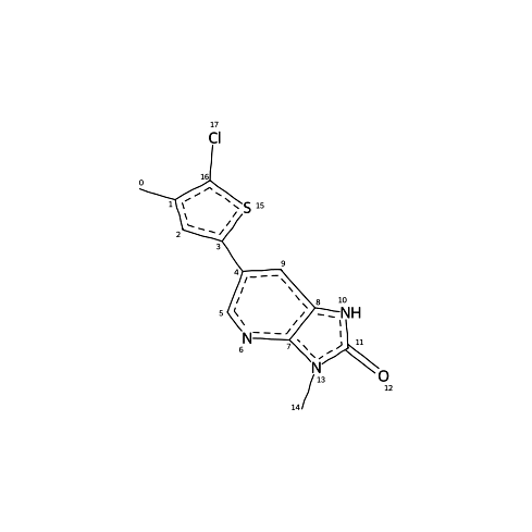 Cc1cc(-c2cnc3c(c2)[nH]c(=O)n3C)sc1Cl